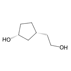 OCC[C@H]1CC[C@@H](O)C1